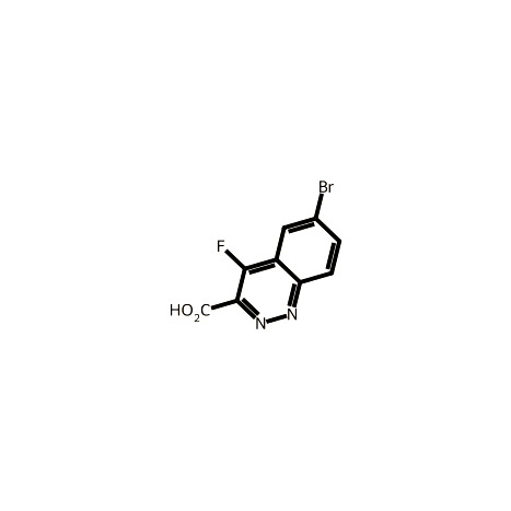 O=C(O)c1nnc2ccc(Br)cc2c1F